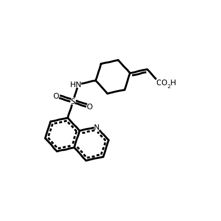 O=C(O)C=C1CCC(NS(=O)(=O)c2cccc3cccnc23)CC1